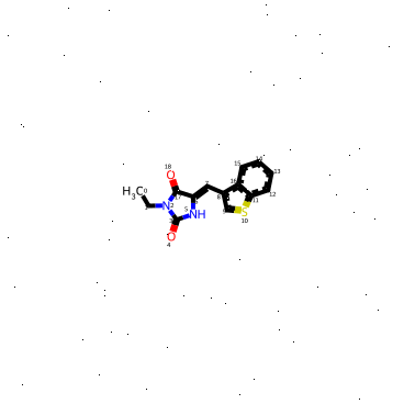 CCN1C(=O)N/C(=C\c2csc3ccccc23)C1=O